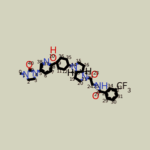 CN1CCN(c2ccc(C3(O)CCC(N4CC[C@@H]5[C@H]4CCN5C(=O)CNC(=O)c4cccc(C(F)(F)F)c4)CC3)nc2)C1=O